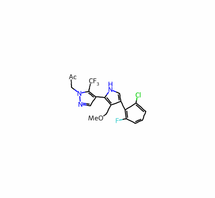 COCc1c(-c2c(F)cccc2Cl)c[nH]c1-c1cnn(CC(C)=O)c1C(F)(F)F